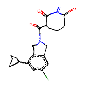 O=C1CCC(C(=O)N2Cc3cc(F)cc(C4CC4)c3C2)C(=O)N1